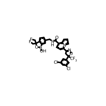 O=C(NCc1ccc2c(c1)B(O)OC2(CF)CF)c1ccc(C2=NOC(c3cc(Cl)cc(Cl)c3)(C(F)(F)F)C2)n2cccc12